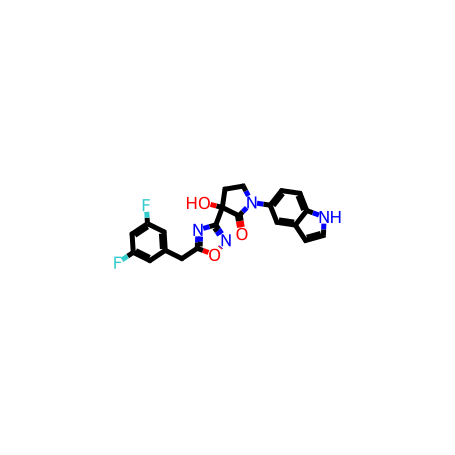 O=C1N(c2ccc3[nH]ccc3c2)CCC1(O)c1noc(Cc2cc(F)cc(F)c2)n1